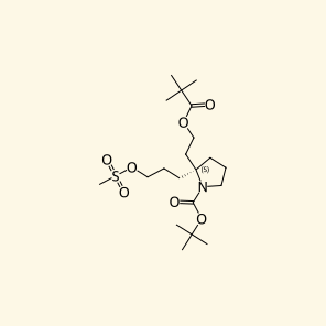 CC(C)(C)OC(=O)N1CCC[C@]1(CCCOS(C)(=O)=O)CCOC(=O)C(C)(C)C